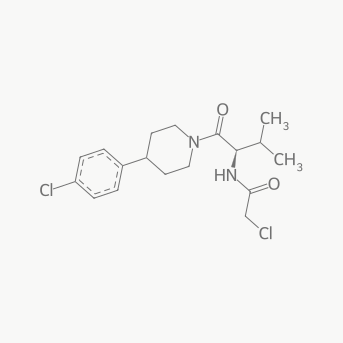 CC(C)[C@@H](NC(=O)CCl)C(=O)N1CCC(c2ccc(Cl)cc2)CC1